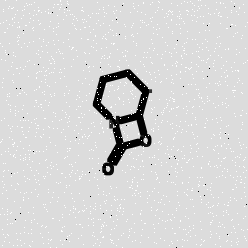 O=C1OC2[CH]CCCN12